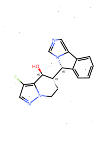 O[C@@H]1c2c(F)cnn2CC[C@H]1[C@H]1c2ccccc2-c2cncn21